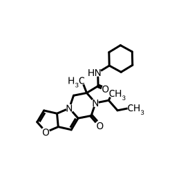 CCC(C)N1C(=O)C2=CC3OC=CC3N2CC1(C)C(=O)NC1CCCCC1